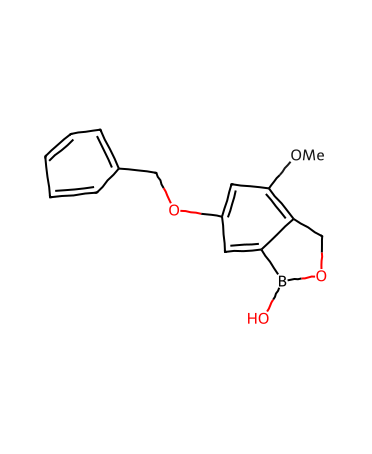 COc1cc(OCc2ccccc2)cc2c1COB2O